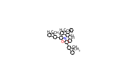 CCc1ccccc1-c1c(CC)c(-c2ccccc2)c2c(c1N1c3ccc(-c4ccc5c(c4)C(C)(C)c4ccccc4-5)cc3Oc3cc(-c4ccc5c(c4)C(C)(C)c4ccccc4-5)ccc31)-c1ccccc1C2(C)C